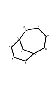 C1C[N]C2CCCC(C1)C2